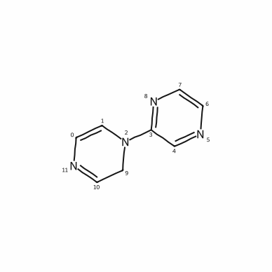 C1=CN(c2cnccn2)CC=N1